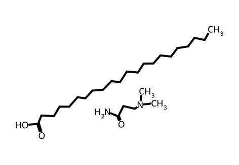 CCCCCCCCCCCCCCCCCCCCCC(=O)O.CN(C)CCC(N)=O